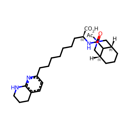 CC(=O)N1C[C@H]2CCC[C@@H](C1)C2C(=O)N[C@@H](CCCCCCCc1ccc2c(n1)NCCC2)C(=O)O